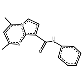 Cc1cc(C)n2ccc(C(=O)Nc3ccccc3)c2n1